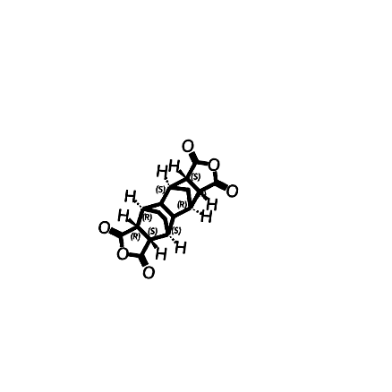 O=C1OC(=O)[C@H]2[C@@H]1[C@H]1CC[C@@H]2C2C1[C@H]1C[C@@H]2[C@@H]2C(=O)OC(=O)[C@@H]21